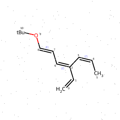 C=CC(/C=C\C)=C/C=C/OC(C)(C)C